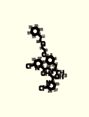 C[C@H](Cc1ccc(OCCOCCc2ccccc2)cc1)N(CC(O)c1cccc(Cl)n1)CC(O)c1cccc(Cl)n1